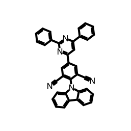 N#Cc1cc(-c2cc(-c3ccccc3)nc(-c3ccccc3)n2)cc(C#N)c1-n1c2ccccc2c2ccccc21